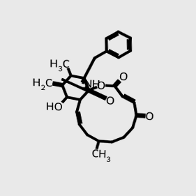 C=C1C(C)C2C(Cc3ccccc3)NC(=O)C23OC(=O)/C=C/C(=O)CCCC(C)C/C=C\C3C1O